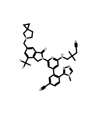 Cn1cnnc1-c1ccc(C#N)cc1-c1cc(NCC(C)(C)CC#N)nc(N2Cc3c(cc(CN4CCC5(CC5)C4)cc3C(F)(F)F)C2=O)c1